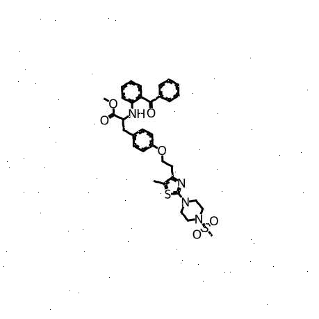 COC(=O)C(Cc1ccc(OCCc2nc(N3CCN(S(C)(=O)=O)CC3)sc2C)cc1)Nc1ccccc1C(=O)c1ccccc1